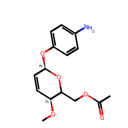 CO[C@H]1C=C[C@@H](Oc2ccc(N)cc2)OC1COC(C)=O